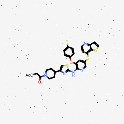 CC(=O)OCC(=O)N1CCC(c2csc(Nc3ncc(Sc4ccnc5ccsc45)cc3Oc3ccc(F)cc3)n2)CC1